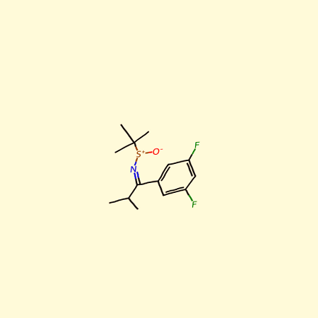 CC(C)/C(=N/[S+]([O-])C(C)(C)C)c1cc(F)cc(F)c1